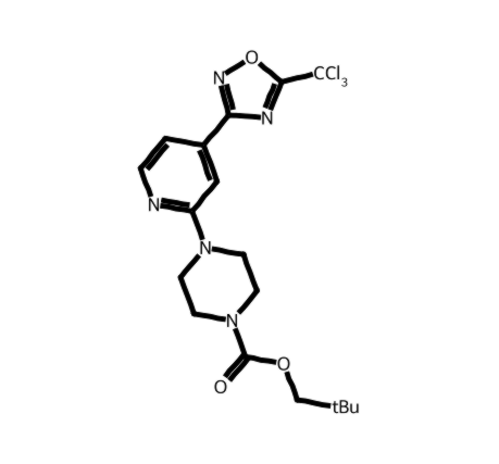 CC(C)(C)COC(=O)N1CCN(c2cc(-c3noc(C(Cl)(Cl)Cl)n3)ccn2)CC1